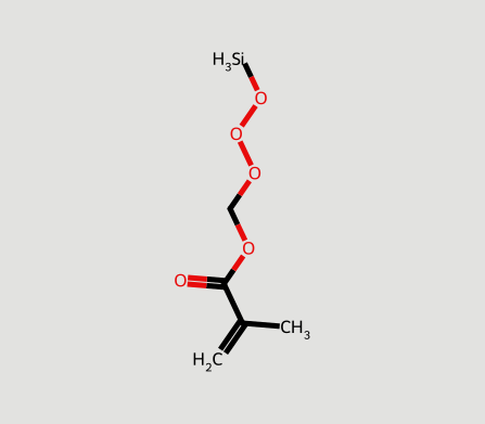 C=C(C)C(=O)OCOOO[SiH3]